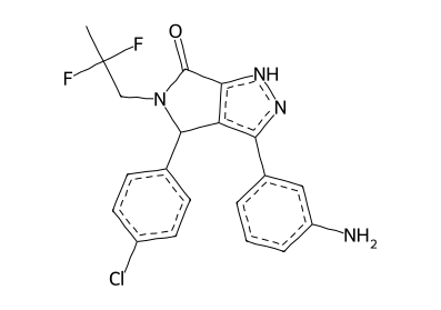 CC(F)(F)CN1C(=O)c2[nH]nc(-c3cccc(N)c3)c2C1c1ccc(Cl)cc1